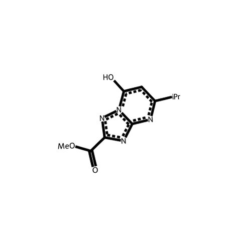 COC(=O)c1nc2nc(C(C)C)cc(O)n2n1